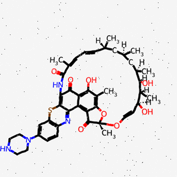 C/C1=C/C=C/[C@H](C)C[C@@H](C)C[C@@H](C)[C@H](O)[C@H](C)[C@@H](O)/C=C/O[C@@]2(C)Oc3c(C)c(O)c4c(=O)c(c5sc6cc(N7CCNCC7)ccc6nc-5c4c3C2=O)NC1=O